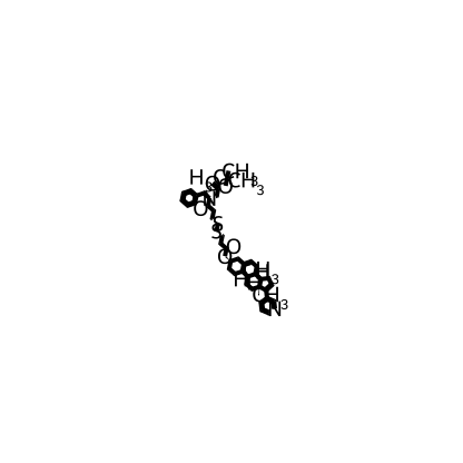 CC(C)(C)OC(=O)CN(Cc1ccccc1)C(=O)CCSSCCC(=O)O[C@H]1CC[C@@]2(C)C(=CC[C@@H]3[C@@H]2CC[C@]2(C)C(c4cccnc4)=CC[C@@H]32)C1